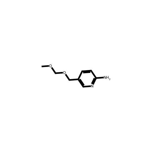 COCOCc1ccc(N)nc1